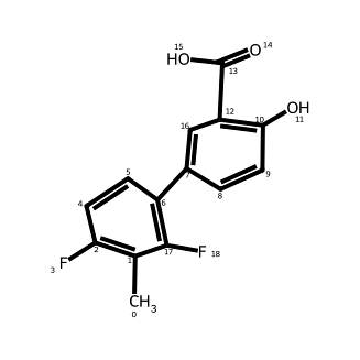 Cc1c(F)ccc(-c2ccc(O)c(C(=O)O)c2)c1F